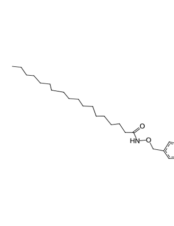 CCCCCCCCCCCCCCCCCC(=O)NOCc1ccccc1